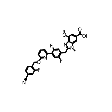 COc1cc(C(=O)O)cc2c1nc(Cc1cc(F)c(-c3cccc(OCc4ccc(C#N)cc4F)n3)cc1F)n2C